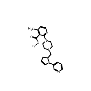 Cc1ccnc(N2CCN(CC3CC=CN3c3cccnc3)CC2)c1C(=O)OC(C)C